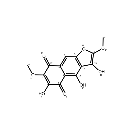 COC1=C(O)C(=O)c2c(cc3oc(OC)c(O)c3c2O)C1=O